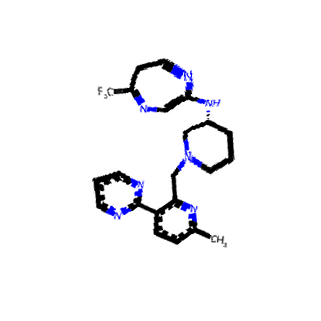 Cc1ccc(-c2ncccn2)c(CN2CCC[C@@H](NC3=CN=C(C(F)(F)F)CC=N3)C2)n1